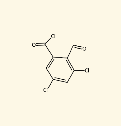 O=Cc1c(Cl)cc(Cl)cc1C(=O)Cl